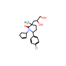 CC1(CC(O)CO)CCC(c2ccc(Cl)cc2)N(C2C=CCC2)C1=O